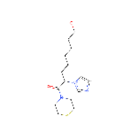 O=C(C(CCCCCCO)n1c[c]nc1)N1CCSCC1